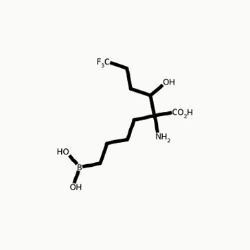 NC(CCCCB(O)O)(C(=O)O)C(O)CCC(F)(F)F